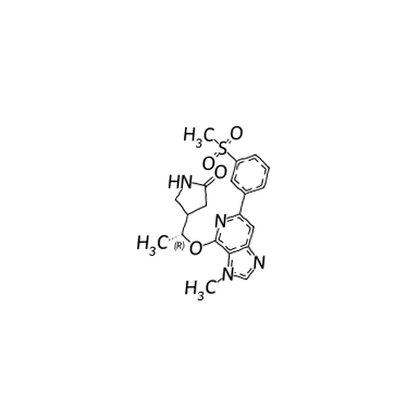 C[C@@H](Oc1nc(-c2cccc(S(C)(=O)=O)c2)cc2ncn(C)c12)C1CNC(=O)C1